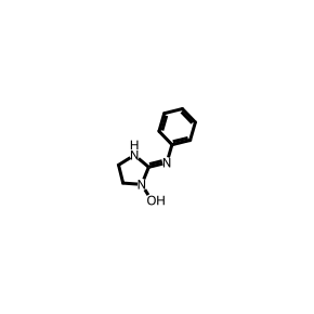 ON1CCN/C1=N\c1ccccc1